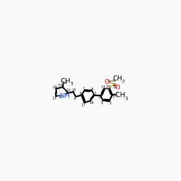 Cc1ccc(-c2ccc(CCC3NCCC3C)cc2)cc1S(C)(=O)=O